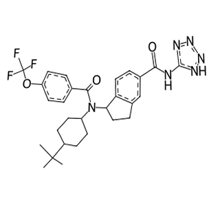 CC(C)(C)C1CCC(N(C(=O)c2ccc(OC(F)(F)F)cc2)C2CCc3cc(C(=O)Nc4nnn[nH]4)ccc32)CC1